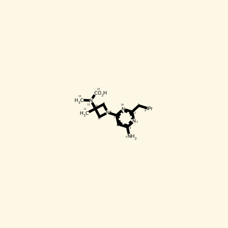 CC(C)Cc1nc(N)cc(N2CC(C)(N(C)C(=O)O)C2)n1